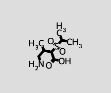 CC(CN)C(C(=O)O)S(=O)(=O)C(C)C